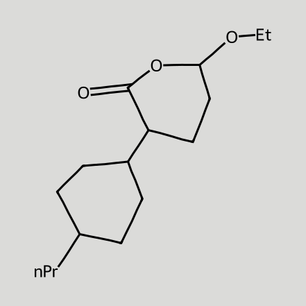 CCCC1CCC(C2CCC(OCC)OC2=O)CC1